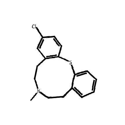 CN1CCc2ccccc2Sc2ccc(Cl)cc2CC1